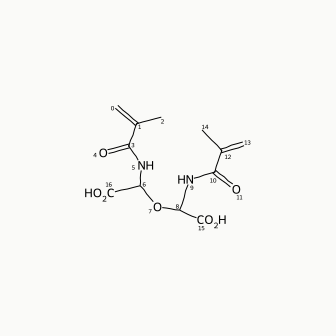 C=C(C)C(=O)NC(OC(NC(=O)C(=C)C)C(=O)O)C(=O)O